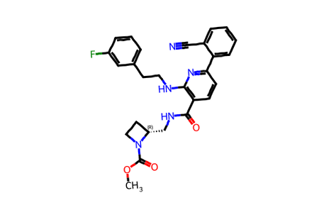 COC(=O)N1CC[C@@H]1CNC(=O)c1ccc(-c2ccccc2C#N)nc1NCCc1cccc(F)c1